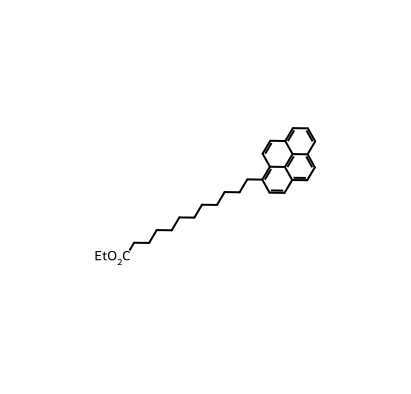 CCOC(=O)CCCCCCCCCCCc1ccc2ccc3cccc4ccc1c2c34